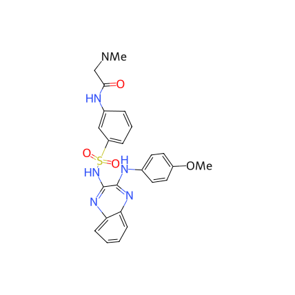 CNCC(=O)Nc1cccc(S(=O)(=O)Nc2nc3ccccc3nc2Nc2ccc(OC)cc2)c1